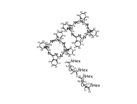 C=C(CCCCCC)[Si](C)(C)O[Si](C)(C)C(=C)CCCCCC.C=C(CCCCCC)[Si](C)(C)O[Si](C)(C)C(=C)CCCCCC.c1ccc2c(c1)-c1nc-2nc2[nH]c(nc3nc(nc4[nH]c(n1)c1ccccc41)-c1ccccc1-3)c1ccccc21.c1ccc2c(c1)-c1nc-2nc2[nH]c(nc3nc(nc4[nH]c(n1)c1ccccc41)-c1ccccc1-3)c1ccccc21